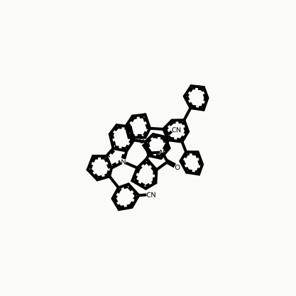 N#Cc1cccc(-c2cccc3c4cccc(-c5cccc(C#N)c5)c4n(-c4cccc5c4C(=O)N(c4c(-c6ccccc6)cc(-c6ccccc6)cc4-c4ccccc4)C5=O)c23)c1